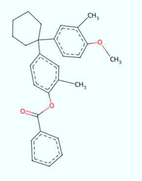 COc1ccc(C2(c3ccc(OC(=O)c4ccccc4)c(C)c3)CCCCC2)cc1C